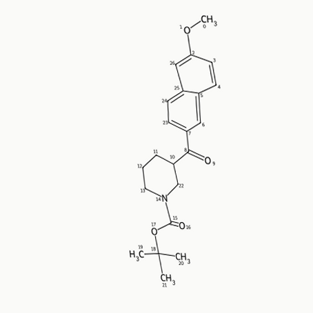 COc1ccc2cc(C(=O)C3CCCN(C(=O)OC(C)(C)C)C3)ccc2c1